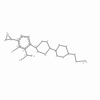 CCCC1CCC(C2CCC(c3ccc(C4CO4)c(F)c3C(F)F)CC2)CC1